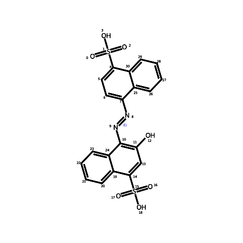 O=S(=O)(O)c1ccc(/N=N/c2c(O)cc(S(=O)(=O)O)c3ccccc23)c2ccccc12